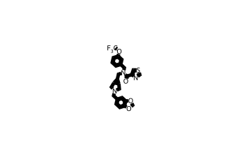 O=C(c1cscn1)N(Cc1cccc(OC(F)(F)F)c1)CC1C2CN(Cc3ccc4c(c3)OCO4)CC21